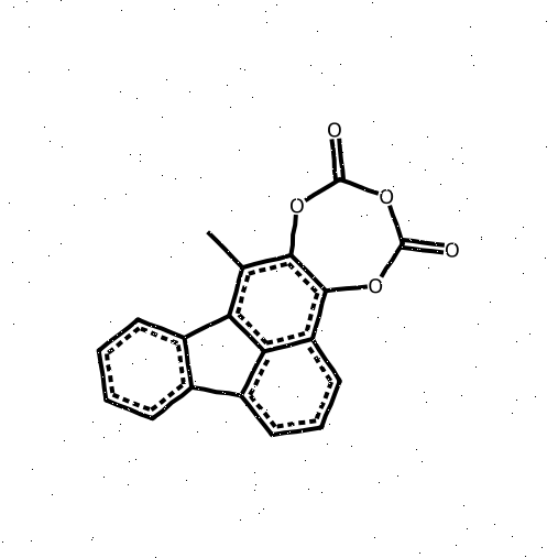 Cc1c2c(c3cccc4c3c1-c1ccccc1-4)OC(=O)OC(=O)O2